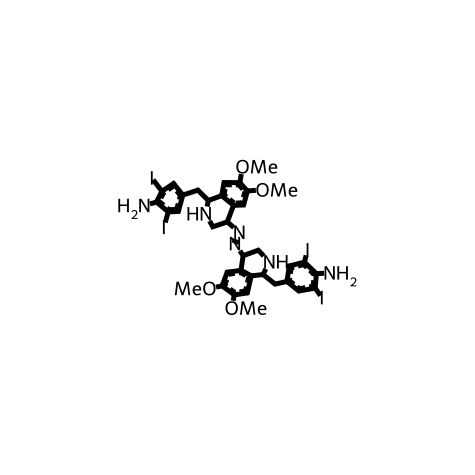 COc1cc2c(cc1OC)C(Cc1cc(I)c(N)c(I)c1)NCC2N=NC1CNC(Cc2cc(I)c(N)c(I)c2)c2cc(OC)c(OC)cc21